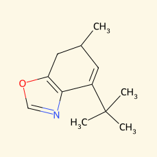 CC1C=C(C(C)(C)C)c2ncoc2C1